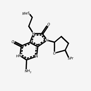 CCCC1CCC(n2c(=O)n(CCSC)c3c(=O)[nH]c(N)nc32)O1